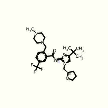 CN1CCN(Cc2ccc(C(F)(F)F)cc2C(=O)/N=c2\sc(C(C)(C)C)cn2C[C@H]2CCCO2)CC1